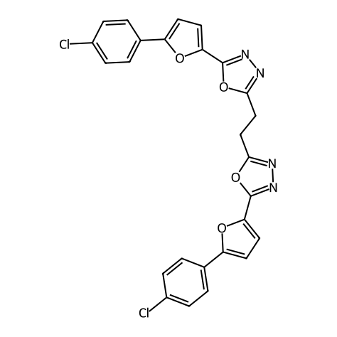 Clc1ccc(-c2ccc(-c3nnc(CCc4nnc(-c5ccc(-c6ccc(Cl)cc6)o5)o4)o3)o2)cc1